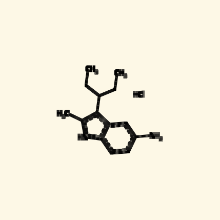 CCC(CC)c1c(C)[nH]c2ccc(N)cc12.Cl